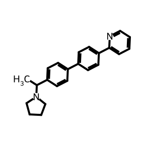 CC(c1ccc(-c2ccc(-c3ccccn3)cc2)cc1)N1CCCC1